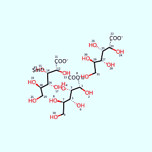 O=C([O-])[C@H](O)[C@@H](O)[C@H](O)[C@H](O)CO.O=C([O-])[C@H](O)[C@@H](O)[C@H](O)[C@H](O)CO.O=C([O-])[C@H](O)[C@@H](O)[C@H](O)[C@H](O)CO.[Sm+3]